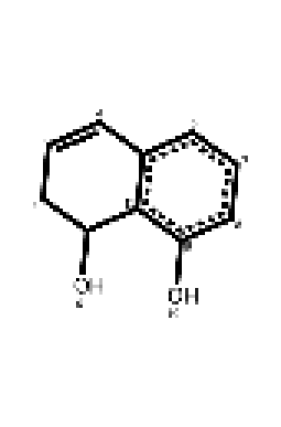 O[C]1CC=Cc2cccc(O)c21